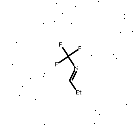 [CH2]C/C=N/C(F)(F)F